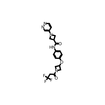 O=C(Nc1ccc(OC2CN(C(=O)CC(F)(F)F)C2)cc1)C1CN(c2ccnnc2)C1